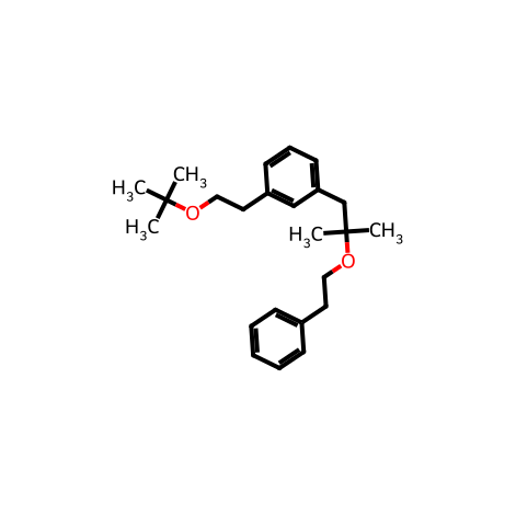 CC(C)(C)OCCc1cccc(CC(C)(C)OCCc2ccccc2)c1